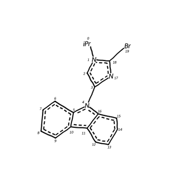 CC(C)n1cc(-n2c3ccccc3c3ccccc32)nc1Br